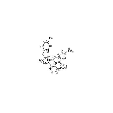 C=C(NSC(C)Cc1ncc(F)cn1)N(C(=C)c1ccc(C)o1)c1c(OC)ncnc1OC